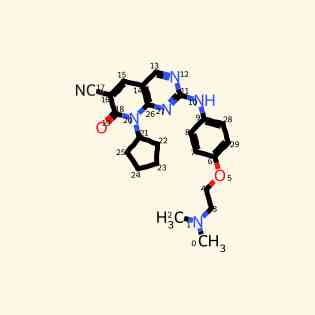 CN(C)CCOc1ccc(Nc2ncc3cc(C#N)c(=O)n(C4CCCC4)c3n2)cc1